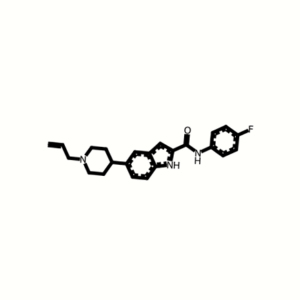 C=CCN1CCC(c2ccc3[nH]c(C(=O)Nc4ccc(F)cc4)cc3c2)CC1